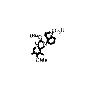 COc1c(C)cnc(CN(C(=O)OC(C)(C)C)c2cccc3c2ccn3C(=O)O)c1C